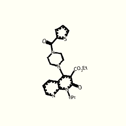 CCCn1c(=O)c(C(=O)OCC)c(N2CCN(C(=O)c3cccs3)CC2)c2cccnc21